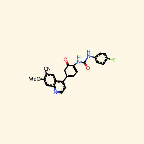 COc1cc2nccc(C3=CC=C(NC(=O)Nc4ccc(F)cc4)C(=O)C3)c2cc1C#N